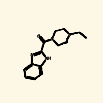 CCN1CCN(C(=O)c2nc3ccccc3[nH]2)CC1